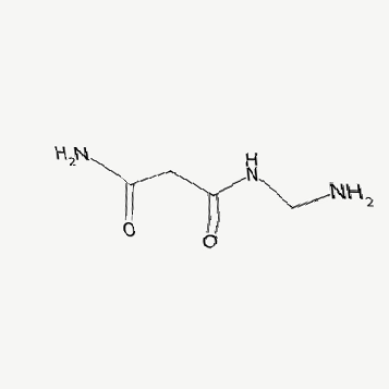 NCNC(=O)CC(N)=O